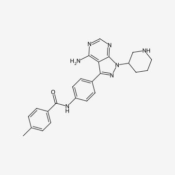 Cc1ccc(C(=O)Nc2ccc(-c3nn(C4CCCNC4)c4ncnc(N)c34)cc2)cc1